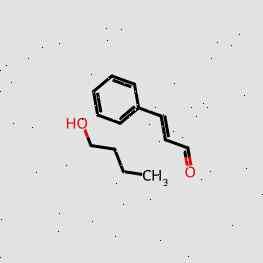 CCCCO.O=CC=Cc1ccccc1